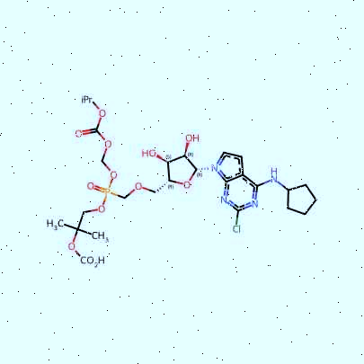 CC(C)OC(=O)OCOP(=O)(COC[C@H]1O[C@@H](n2ccc3c(NC4CCCC4)nc(Cl)nc32)[C@H](O)[C@@H]1O)OCC(C)(C)OC(=O)O